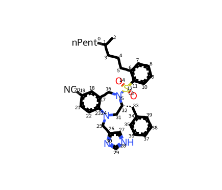 CCCCCC(C)CCCc1ccccc1S(=O)(=O)N1Cc2cc(C#N)ccc2N(Cc2c[nH]cn2)C[C@H]1Cc1ccccc1